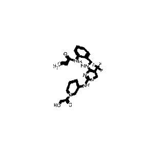 C=CC(=O)Nc1ccccc1CNc1nc(NC2CCCN(C(=O)CO)C2)ncc1C(F)(F)F